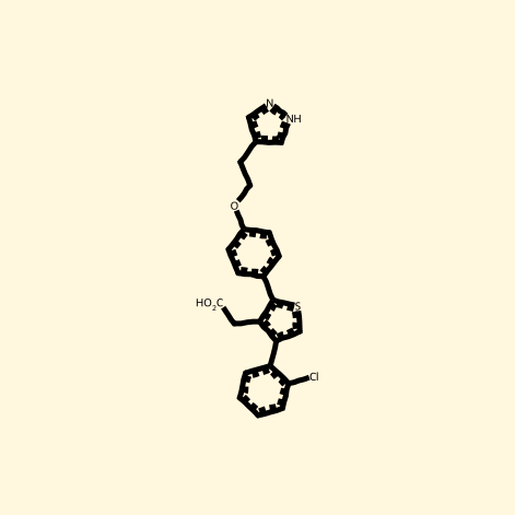 O=C(O)Cc1c(-c2ccccc2Cl)csc1-c1ccc(OCCc2cn[nH]c2)cc1